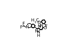 COc1cccc(F)c1-n1nc2c(-c3ccc4c(c3)CN(CC(F)F)CC4)n[nH]c2cc1=O